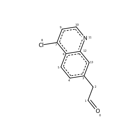 O=CCc1ccc2c(Cl)ccnc2c1